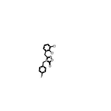 O=c1onc(Cc2cccc(Cl)c2Cl)n1Cc1ccc(F)cc1